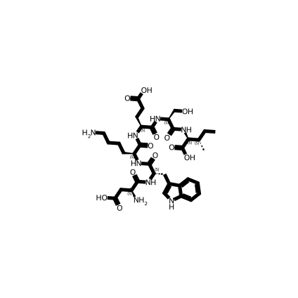 CC[C@H](C)[C@H](NC(=O)[C@H](CO)NC(=O)[C@H](CCC(=O)O)NC(=O)[C@H](CCCCN)NC(=O)[C@H](Cc1c[nH]c2ccccc12)NC(=O)[C@@H](N)CC(=O)O)C(=O)O